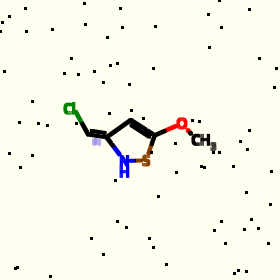 COC1=C/C(=C\Cl)NS1